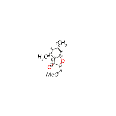 COCC1Oc2cc(C)cc(C)c2C1=O